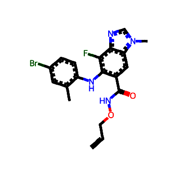 C=CCONC(=O)c1cc2c(ncn2C)c(F)c1Nc1ccc(Br)cc1C